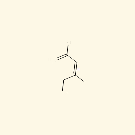 C=C(C)/C=C(/F)CCCCC